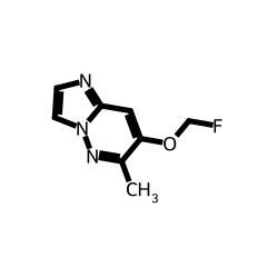 Cc1nn2ccnc2cc1OCF